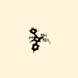 CC1=C(c2ccccc2)C=C(C(=N)N)C2C(c3ccccc3)[C@@H]12